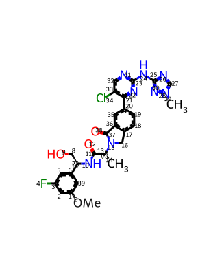 COc1cc(F)cc([C@@H](CO)NC(=O)[C@@H](C)N2Cc3ccc(-c4nc(Nc5ncn(C)n5)ncc4Cl)cc3C2=O)c1